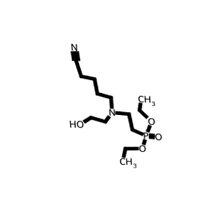 CCOP(=O)(CCN(CCO)CCCCC#N)OCC